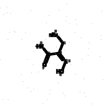 CCCCC/C(=N/O)C([NH])=O